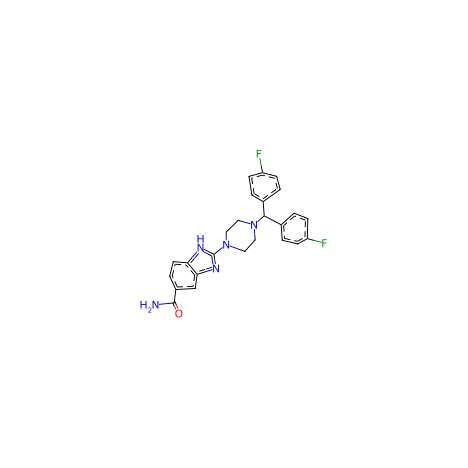 NC(=O)c1ccc2[nH]c(N3CCN(C(c4ccc(F)cc4)c4ccc(F)cc4)CC3)nc2c1